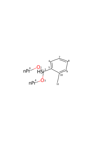 CCCO[SiH](OCCC)c1ccccc1C